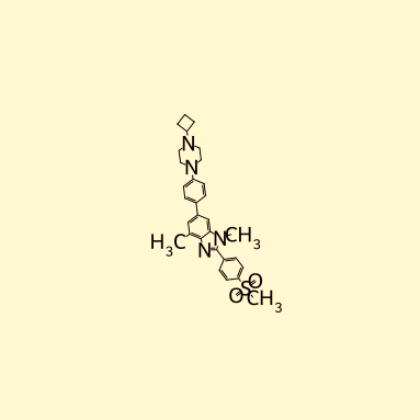 Cc1cc(-c2ccc(N3CCN(C4CCC4)CC3)cc2)cc2c1nc(-c1ccc(S(C)(=O)=O)cc1)n2C